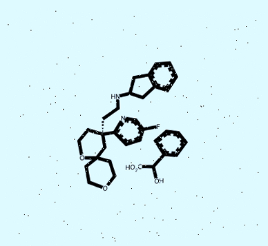 Fc1ccc([C@]2(CCNC3Cc4ccccc4C3)CCOC3(CCOCC3)C2)nc1.O=C(O)C(O)c1ccccc1